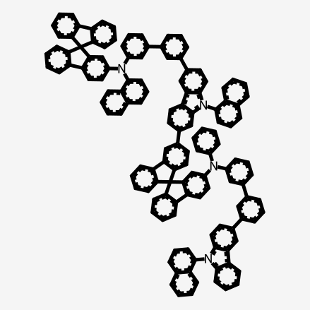 c1ccc(N(c2cccc(-c3cccc(-c4ccc5c(c4)c4ccccc4n5-c4cccc5ccccc45)c3)c2)c2ccc3c(c2)C2(c4ccccc4-c4cc(-c5ccc6c7cc(-c8cccc(-c9cccc(N(c%10ccc%11c(c%10)C%10(c%12ccccc%12-c%12ccccc%12%10)c%10ccccc%10-%11)c%10cccc%11ccccc%10%11)c9)c8)ccc7n(-c7cccc8ccccc78)c6c5)ccc42)c2ccccc2-3)cc1